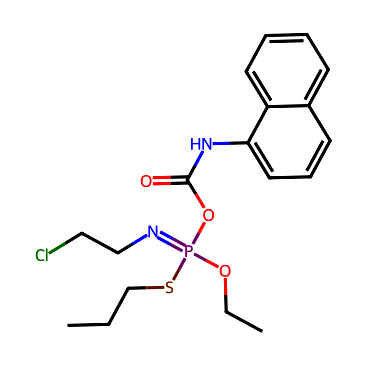 CCCSP(=NCCCl)(OCC)OC(=O)Nc1cccc2ccccc12